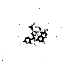 Cc1nc(F)ccc1[C@H](Nc1cc(Cl)c2ncc(C#N)c(NCC(C)(C)C)c2c1)C1=CN([C@@H]2C[C@@H]2F)NN1